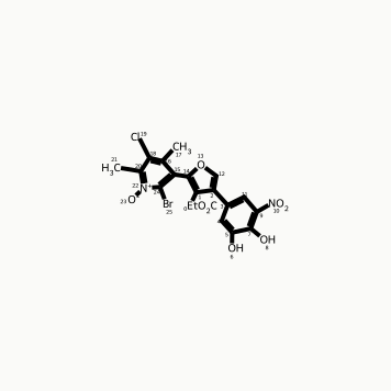 CCOC(=O)c1c(-c2cc(O)c(O)c([N+](=O)[O-])c2)coc1-c1c(C)c(Cl)c(C)[n+]([O-])c1Br